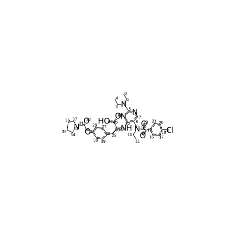 CCN(CC)c1ncc(N(CC)S(=O)(=O)c2ccc(Cl)cc2)c(N[C@@H](Cc2ccc(OC(=O)N3CCCC3)cc2)C(=O)O)n1